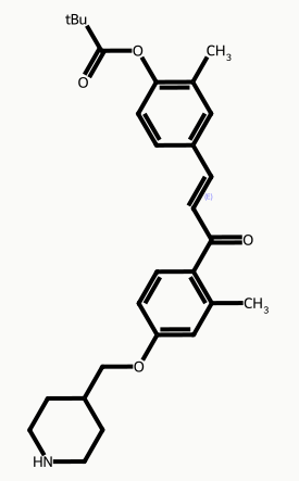 Cc1cc(/C=C/C(=O)c2ccc(OCC3CCNCC3)cc2C)ccc1OC(=O)C(C)(C)C